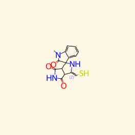 CN1C(=O)C2(N/C(=C\S)C3C(=O)NC(=O)C32)c2ccccc21